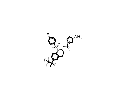 CC(O)(c1ccc2c(c1)CC[C@@H](CC(=O)N1CC[C@H](N)C1)N2S(=O)(=O)c1ccc(F)cc1)C(F)(F)F